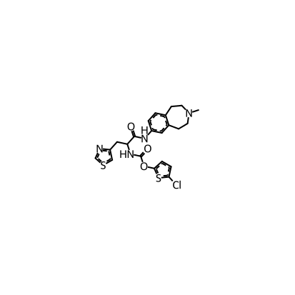 CN1CCc2ccc(NC(=O)C(Cc3cscn3)NC(=O)Oc3ccc(Cl)s3)cc2CC1